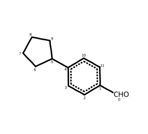 O=Cc1ccc(C2CCCC2)cc1